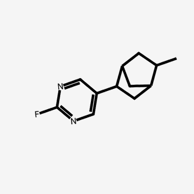 CC1CC2CC1CC2c1cnc(F)nc1